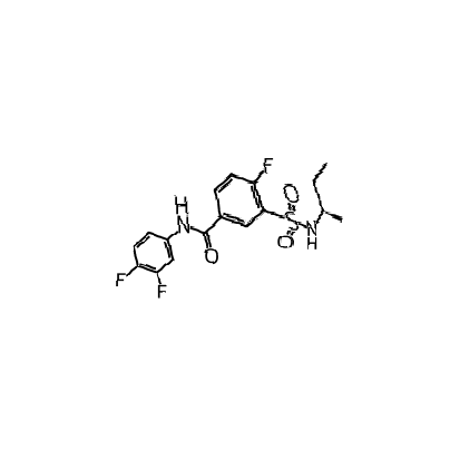 CC[C@@H](C)NS(=O)(=O)c1cc(C(=O)Nc2ccc(F)c(F)c2)ccc1F